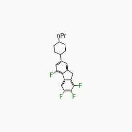 CCCC1CCC(c2cc(F)c3c(c2)Cc2c-3cc(F)c(F)c2F)CC1